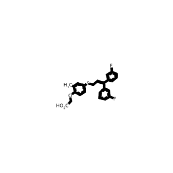 Cc1cc(SCC=C(c2cccc(F)c2)c2cccc(F)c2)ccc1OCC(=O)O